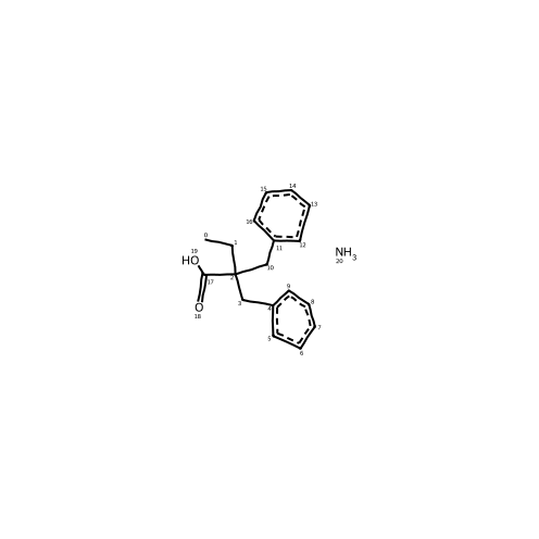 CCC(Cc1ccccc1)(Cc1ccccc1)C(=O)O.N